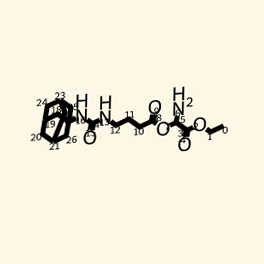 CCOC(=O)C(N)OC(=O)CCCNC(=O)NC12CC3CC(CC(C3)C1)C2